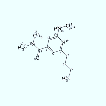 CCCCc1cc(C(=O)N(C)C)cc(NC)n1